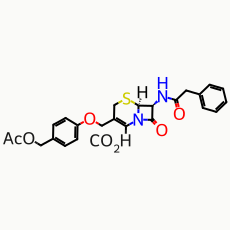 CC(=O)OCc1ccc(OCC2=C(C(=O)O)N3C(=O)[C@H](NC(=O)Cc4ccccc4)[C@@H]3SC2)cc1